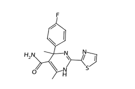 CC1=C(C(N)=O)C(C)(c2ccc(F)cc2)N=C(c2nccs2)N1